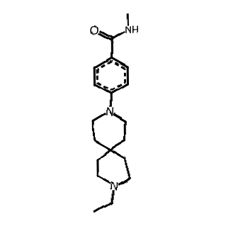 CCN1CCC2(CC1)CCN(c1ccc(C(=O)NC)cc1)CC2